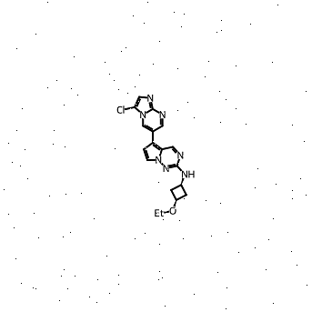 CCO[C@H]1C[C@@H](Nc2ncc3c(-c4cnc5ncc(Cl)n5c4)ccn3n2)C1